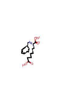 NCc1ccccc1.O=C(O)CCCCCCCC(=O)O